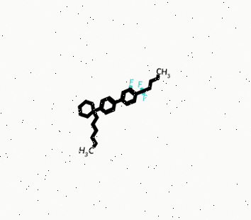 CCCCCCC1(c2ccc(-c3ccc(C(F)(F)CCCC)c(F)c3)cc2)CCCCC1